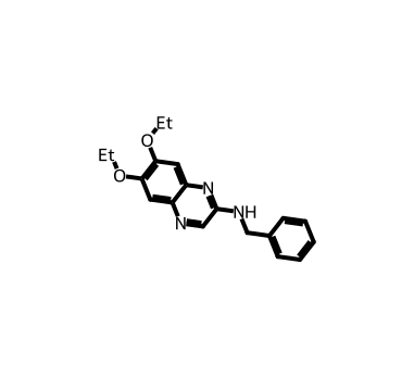 CCOc1cc2ncc(NCc3ccccc3)nc2cc1OCC